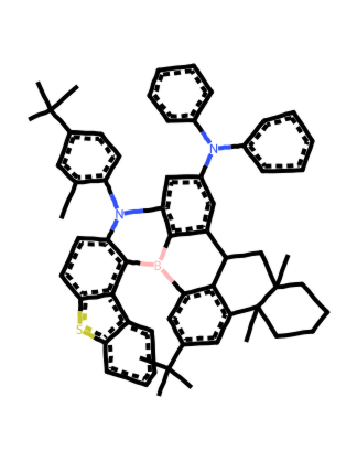 Cc1cc(C(C)(C)C)ccc1N1c2cc(N(c3ccccc3)c3ccccc3)cc3c2B(c2cc(C(C)(C)C)cc4c2C3CC2(C)CCCCC42C)c2c1ccc1sc3ccccc3c21